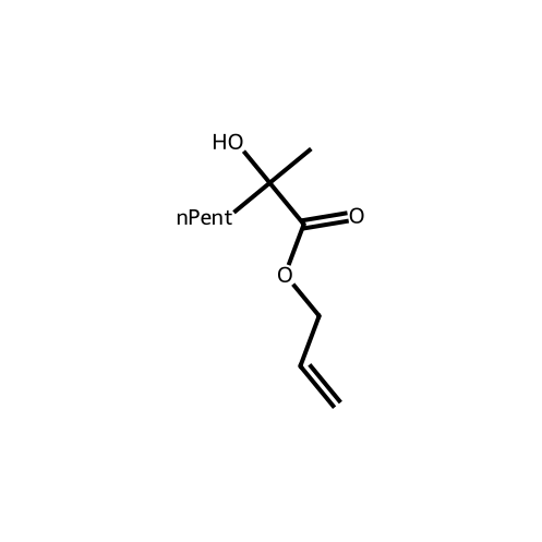 C=CCOC(=O)C(C)(O)CCCCC